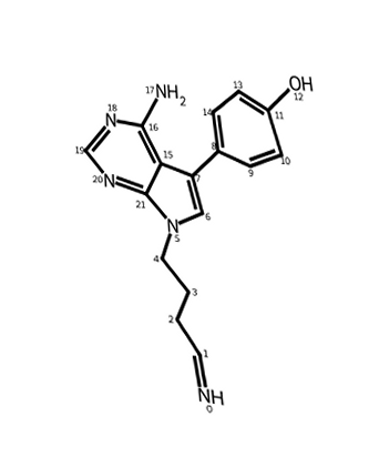 N=CCCCn1cc(-c2ccc(O)cc2)c2c(N)ncnc21